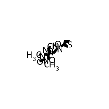 Cn1c(=O)c2c(nc(Cl)n2Cc2noc(-c3ccsc3)n2)n(C)c1=O